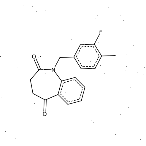 Cc1ccc(CN2C(=O)CCC(=O)c3ccccc32)cc1F